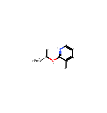 CCCCC[C@H](C)Oc1ncccc1C